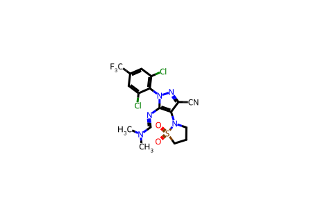 CN(C)C=Nc1c(N2CCCS2(=O)=O)c(C#N)nn1-c1c(Cl)cc(C(F)(F)F)cc1Cl